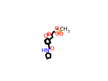 CS(=O)(=O)OCC1Cc2cc(C(=O)NC3CCCC3)ccc2OO1